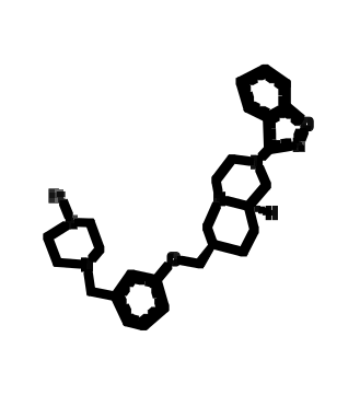 CCN1CCN(Cc2cccc(OC[C@@H]3CC[C@@H]4CN(c5noc6ccccc56)CCN4C3)c2)CC1